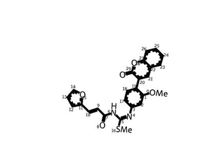 COc1cc(N=C(NC(=O)C=Cc2ccco2)SC)ccc1-c1cc2ccccc2oc1=O